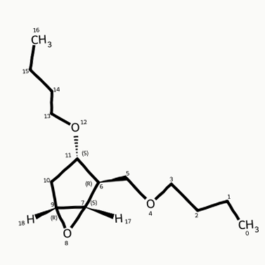 CCCCOC[C@H]1[C@@H]2O[C@@H]2C[C@@H]1OCCCC